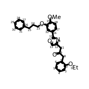 CCOc1ccccc1CC(=O)Cc1coc(-c2ccc(OC)c(OCCCc3ccccc3)c2)n1